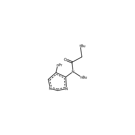 CCCCN(C(=O)CC(C)(C)C)c1ncncc1CCC